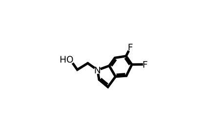 OCCn1ccc2cc(F)c(F)cc21